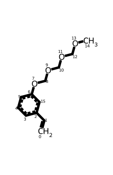 C=Cc1cccc(OCOCOCOC)c1